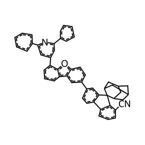 N#Cc1cccc2c1C1(c3cc(-c4ccc5oc6c(-c7cc(-c8ccccc8)nc(-c8ccccc8)c7)cccc6c5c4)ccc3-2)C2CC3CC(C2)CC1C3